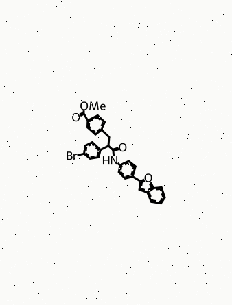 COC(=O)c1ccc(CC(C(=O)Nc2ccc(-c3cc4ccccc4o3)cc2)c2ccc(Br)cc2)cc1